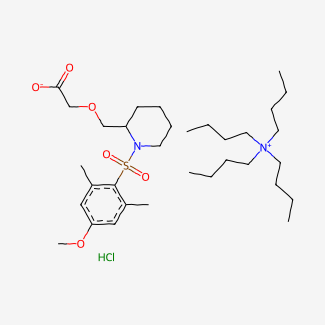 CCCC[N+](CCCC)(CCCC)CCCC.COc1cc(C)c(S(=O)(=O)N2CCCCC2COCC(=O)[O-])c(C)c1.Cl